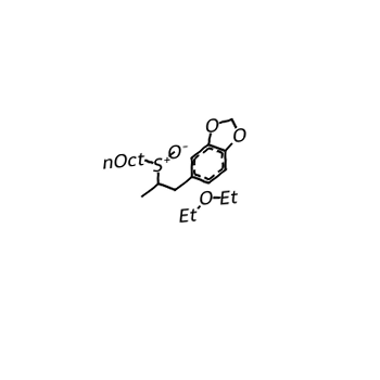 CCCCCCCC[S+]([O-])C(C)Cc1ccc2c(c1)OCO2.CCOCC